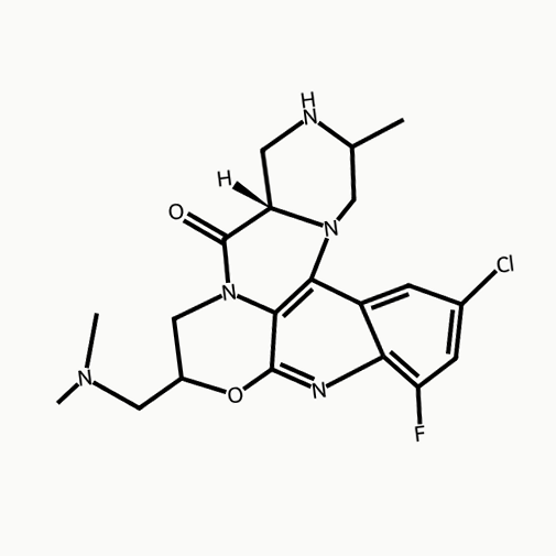 CC1CN2c3c4c(nc5c(F)cc(Cl)cc35)OC(CN(C)C)CN4C(=O)[C@@H]2CN1